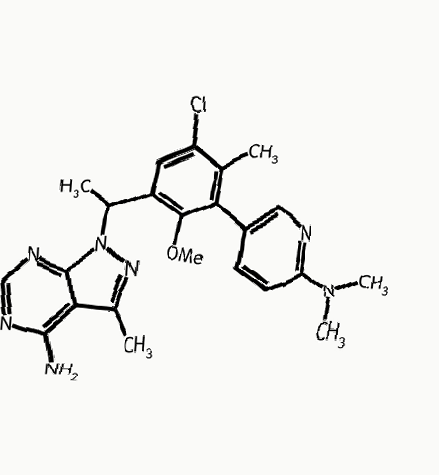 COc1c(C(C)n2nc(C)c3c(N)ncnc32)cc(Cl)c(C)c1-c1ccc(N(C)C)nc1